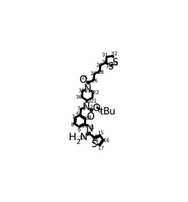 CC(C)(C)OC(=O)N(Cc1cccc(/N=C(\N)c2cccs2)c1)C1CCN(C(=O)CCCCC2CCSS2)CC1